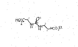 CCOC(=O)CCNC(=O)NCC(=O)O